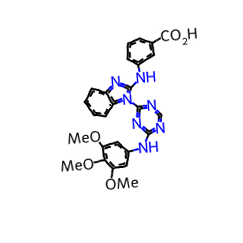 COc1cc(Nc2ncnc(-n3c(Nc4cccc(C(=O)O)c4)nc4ccccc43)n2)cc(OC)c1OC